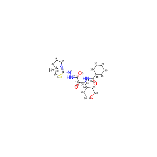 O=C(NN=C1SC[C@H]2CCCN12)C(=O)[C@@H](NC(=O)C1CCCCC1)C1CCOCC1